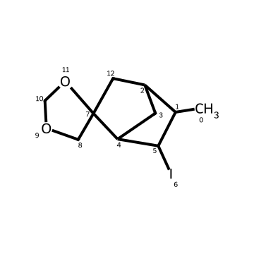 CC1C2CC(C1I)C1(COCO1)C2